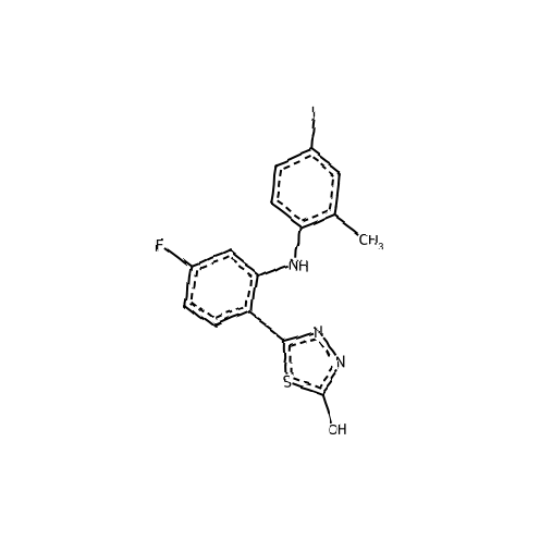 Cc1cc(I)ccc1Nc1cc(F)ccc1-c1nnc(O)s1